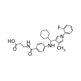 Cc1cn(-c2ccccc2F)cc1C(Nc1ccc(C(=O)NCCC(=O)O)cc1)C1CCCCC1